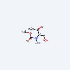 COC(=O)C(CO)N(C(=O)OC(C)(C)C)C(C)(C)C